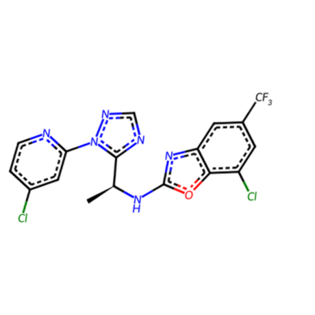 C[C@H](Nc1nc2cc(C(F)(F)F)cc(Cl)c2o1)c1ncnn1-c1cc(Cl)ccn1